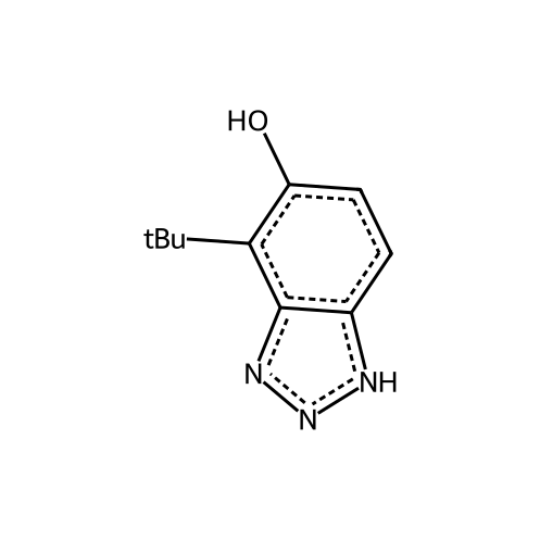 CC(C)(C)c1c(O)ccc2[nH]nnc12